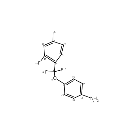 Cc1ccc(C(F)(F)Oc2ccc(N)cc2)c(F)c1